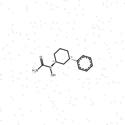 NC(=O)N(O)[C@H]1CCC[C@H](c2ccccc2)C1